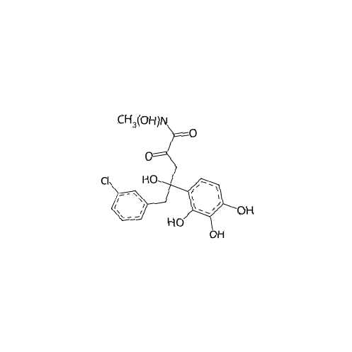 CN(O)C(=O)C(=O)CC(O)(Cc1cccc(Cl)c1)c1ccc(O)c(O)c1O